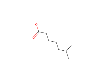 CC(C)CCCCC([O])=O